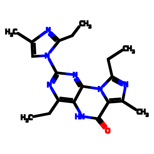 CCc1nc(-n2cc(C)nc2CC)nc2c1[nH]c(=O)c1c(C)nc(CC)n12